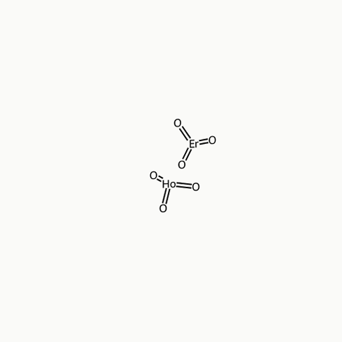 [O]=[Er](=[O])=[O].[O]=[Ho](=[O])=[O]